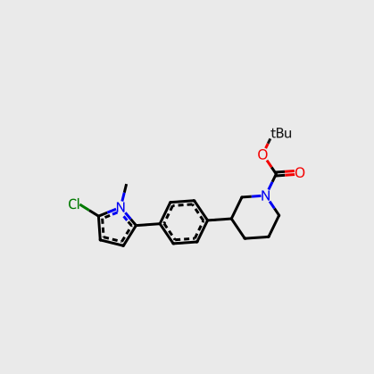 Cn1c(Cl)ccc1-c1ccc(C2CCCN(C(=O)OC(C)(C)C)C2)cc1